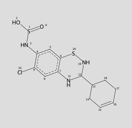 O=S(O)Nc1cc2c(cc1Cl)NC(C1CC=CCC1)NS2